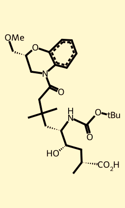 COC[C@H]1CN(C(=O)CC(C)(C)C[C@H](NC(=O)OC(C)(C)C)[C@@H](O)C[C@@H](C)C(=O)O)c2ccccc2O1